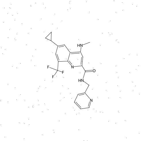 CNc1cc(C(=O)NCc2ccccn2)nc2c(C(F)(F)F)cc(C3CC3)cc12